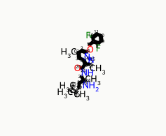 Cc1cc(OCc2c(F)cccc2F)n2nc(C)c(C(=O)NCC(C)(N)CC[Si](C)(C)C)c2c1